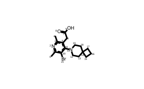 Cc1nc(C)c(CC(=O)O)c(N2CCC3(CCC3)CC2)c1Br